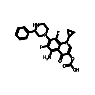 Nc1c(F)c(N2CCNC(c3ccccc3)C2)c(F)c2c1c(=O)c(OC(=O)O)cn2C1CC1